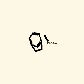 CNC.c1cc2cc(c1)CC2